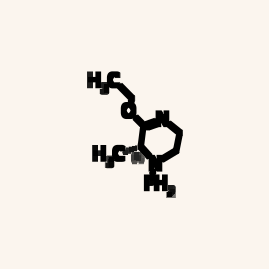 CCOC1=NCCN(P)[C@@H]1C